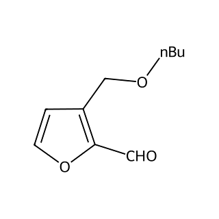 CCCCOCc1ccoc1C=O